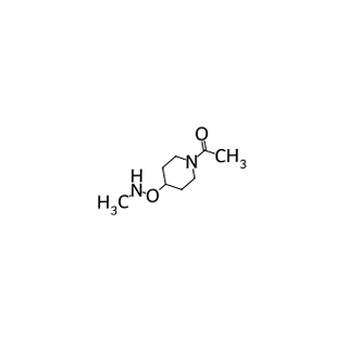 CNOC1CCN(C(C)=O)CC1